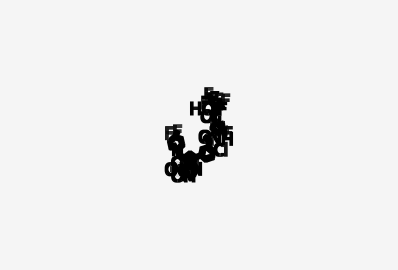 O=C(N[C@@H]1CN(C(=O)CC(O)(C(F)(F)F)C(F)(F)F)C[C@@H]1F)c1cc(-c2cc(CN3CCC(F)(F)CC3)c3c([N+]([O-])(O)O)ncnn23)ccc1Cl